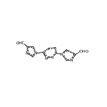 O=Cc1cn(-c2ccc(-n3cnc(C=O)c3)nn2)cn1